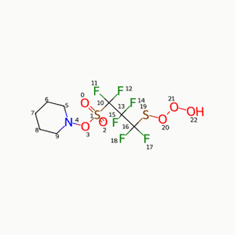 O=S(=O)(ON1CCCCC1)C(F)(F)C(F)(F)C(F)(F)SOOO